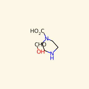 O=C(O)N1CCNCC1.O=CO